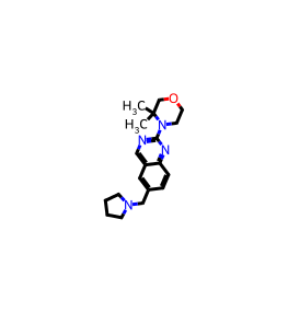 CC1(C)COCCN1c1ncc2cc(CN3CCCC3)ccc2n1